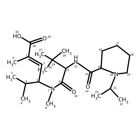 CC(=CC(C(C)C)N(C)C(=O)C(NC(=O)C1CCCCN1C(C)C)C(C)(C)C)C(=O)O